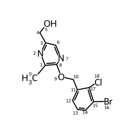 Cc1nc(CO)cnc1OCc1cccc(Br)c1Cl